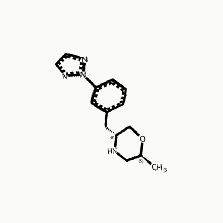 C[C@H]1CN[C@H](Cc2cccc(-n3nccn3)c2)CO1